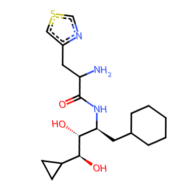 NC(Cc1cscn1)C(=O)N[C@@H](CC1CCCCC1)[C@@H](O)[C@@H](O)C1CC1